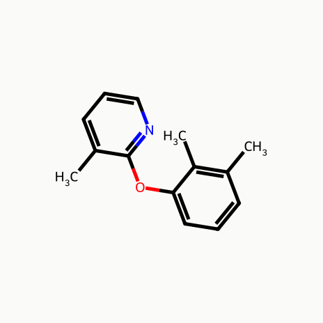 Cc1cccnc1Oc1cccc(C)c1C